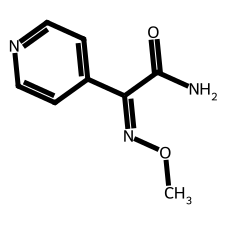 CO/N=C(\C(N)=O)c1ccncc1